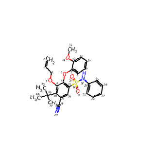 C=CCOc1c(Oc2ccccc2OC)c(S(=O)(=O)Nc2ccccc2)cc(C#N)c1C(C)(C)C